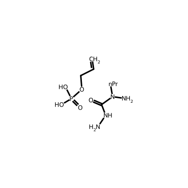 C=CCOP(=O)(O)O.C[CH]CN(N)C(=O)NN